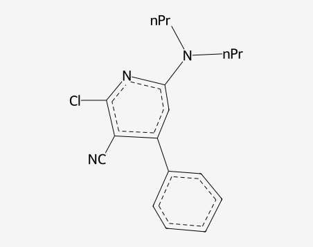 CCCN(CCC)c1cc(-c2ccccc2)c(C#N)c(Cl)n1